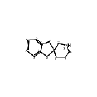 c1ccc2c(c1)CC1(CCCNC1)C2